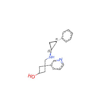 OC1CC(CN[C@H]2C[C@@H]2c2ccccc2)(c2cccnc2)C1